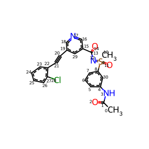 CC(=O)Nc1cccc(S(C)(=O)=NC(=O)c2cncc(C#Cc3ccccc3Cl)c2)c1